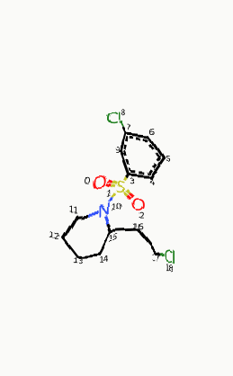 O=S(=O)(c1cccc(Cl)c1)N1CCCCC1CCCl